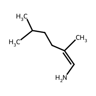 C/C(=C/N)CCC(C)C